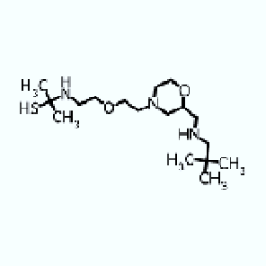 CC(C)(C)CNCC1CN(CCOCCNC(C)(C)S)CCO1